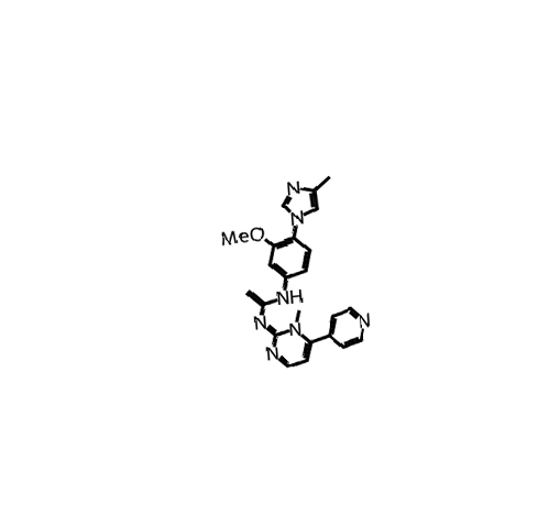 C=C(/N=c1/nccc(-c2ccncc2)n1C)Nc1ccc(-n2cnc(C)c2)c(OC)c1